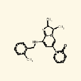 Cc1ccccc1CNC1=CC(n2ccccc2=O)=CN2C1=NC(C)C2C